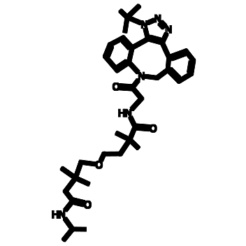 CC(C)NC(=O)CC(C)(C)COCCC(C)(C)C(=O)NCC(=O)N1Cc2ccccc2-c2nnn(C(C)(C)C)c2-c2ccccc21